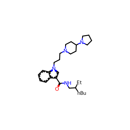 CCCCC(CC)CNC(=O)c1cn(CCCN2CCC(N3CCCC3)CC2)c2ccccc12